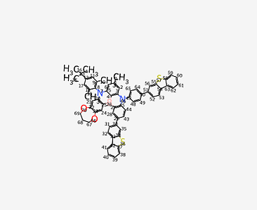 Cc1cc2c3c(c1)N(c1c(C)cc(C(C)(C)C)cc1C)c1cc4c(cc1B3c1cc(-c3ccc5c(c3)sc3ccccc35)ccc1N2c1ccc(-c2ccc3c(c2)sc2ccccc23)cc1)OCCCO4